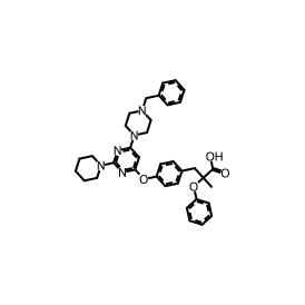 CC(Cc1ccc(Oc2cc(N3CCN(Cc4ccccc4)CC3)nc(N3CCCCC3)n2)cc1)(Oc1ccccc1)C(=O)O